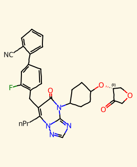 CCCc1c(Cc2ccc(-c3ccccc3C#N)cc2F)c(=O)n(C2CCC(O[C@@H]3COCC3=O)CC2)c2ncnn12